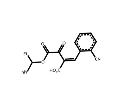 CCCC(CC)OC(=O)C(=O)C(=Cc1ccccc1C#N)C(=O)O